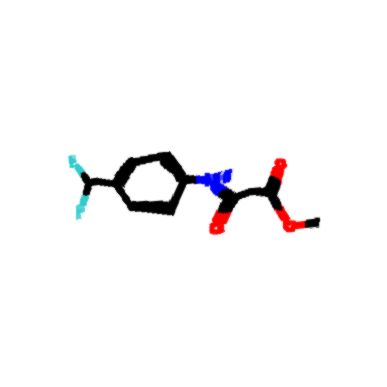 COC(=O)C(=O)Nc1ccc(C(F)F)cc1